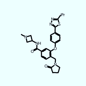 CC(C)c1nnc(-c2ccc(Oc3cc(C(=O)NC4CN(C)C4)ccc3CN3CCCC3=O)cc2)s1